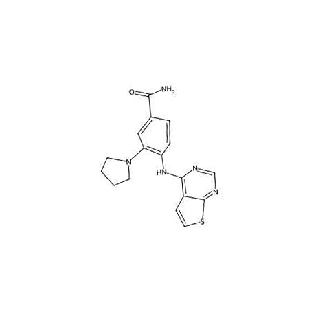 NC(=O)c1ccc(Nc2ncnc3sccc23)c(N2CCCC2)c1